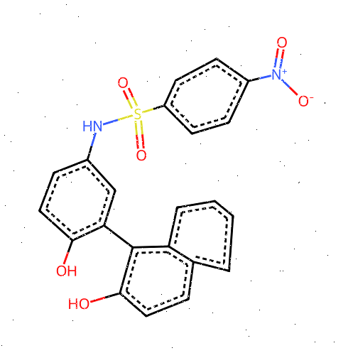 O=[N+]([O-])c1ccc(S(=O)(=O)Nc2ccc(O)c(-c3c(O)ccc4ccccc34)c2)cc1